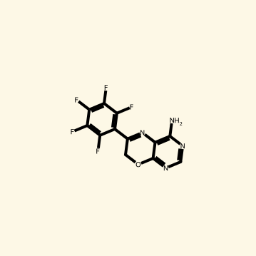 Nc1ncnc2c1N=C(c1c(F)c(F)c(F)c(F)c1F)CO2